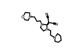 N#CC(C#N)=C1N(CCCN2CCOCC2)CCN1CCN1CCCCC1